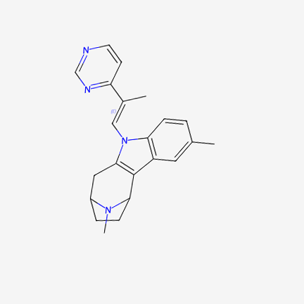 C/C(=C\n1c2c(c3cc(C)ccc31)C1CCC(C2)N1C)c1ccncn1